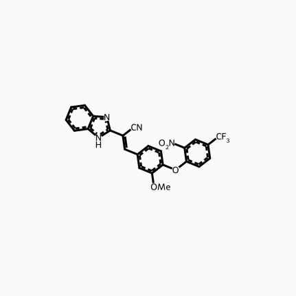 COc1cc(/C=C(\C#N)c2nc3ccccc3[nH]2)ccc1Oc1ccc(C(F)(F)F)cc1[N+](=O)[O-]